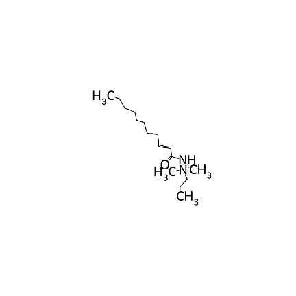 CCCCCCCCC=CC(=O)N[N+](C)(C)CCC